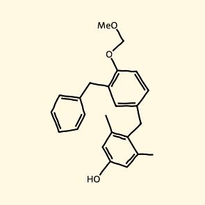 COCOc1ccc(Cc2c(C)cc(O)cc2C)cc1Cc1ccccc1